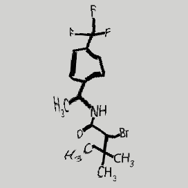 CC(NC(=O)C(Br)C(C)(C)C)c1ccc(C(F)(F)F)cc1